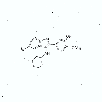 COc1ccc(-c2nc3ccc(Br)cn3c2NC2CCCCC2)cc1O